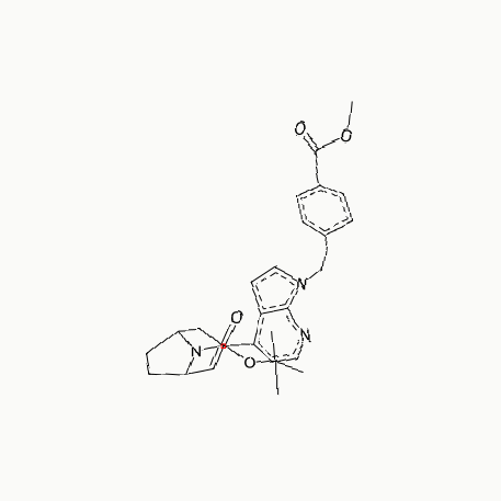 COC(=O)c1ccc(Cn2ccc3c(C4=CC5CCC(C4)N5C(=O)OC(C)(C)C)ccnc32)cc1